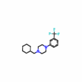 FC(F)(F)c1cccc(N2CCN(CC3CCCCC3)CC2)c1